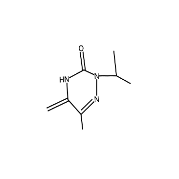 C=C1NC(=O)N(C(C)C)N=C1C